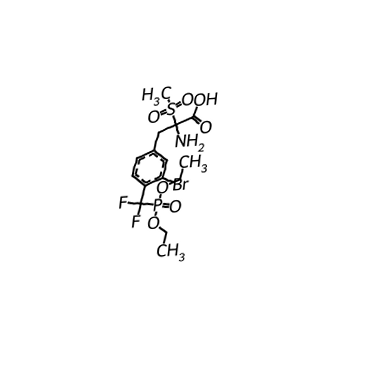 CCOP(=O)(OCC)C(F)(F)c1ccc(CC(N)(C(=O)O)S(C)(=O)=O)cc1Br